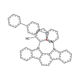 N#Cc1cccc(C#N)c1-n1c2ccccc2c2ccc3c4ccccc4n(-c4cccc(-c5ccc(-c6ccccc6)cc5)c4)c3c21